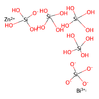 O[Si](O)(O)O.O[Si](O)(O)O.O[Si](O)(O)O.[Bi+3].[O-][Si](O)(O)O.[O-][Si]([O-])([O-])[O-].[Zn+2]